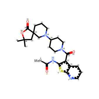 CNC(=O)Nc1sc2ncccc2c1C(=O)N1CCC(N2CCCC3(C2)CC(C)(C)OC3=O)CC1